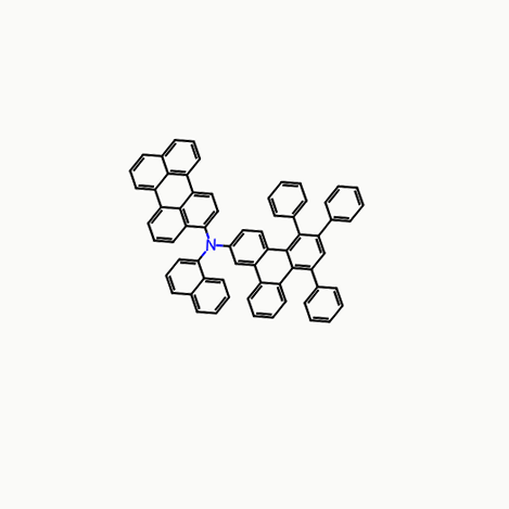 c1ccc(-c2cc(-c3ccccc3)c3c4ccccc4c4cc(N(c5cccc6ccccc56)c5ccc6c7cccc8cccc(c9cccc5c96)c87)ccc4c3c2-c2ccccc2)cc1